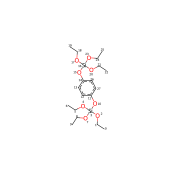 CCO[Si](OCC)(OCC)Oc1ccc(O[Si](OCC)(OCC)OCC)cc1